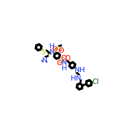 CCS(=O)(=O)c1cc(S(=O)(=O)NC(=O)c2ccc(NCCNCc3ccccc3-c3ccc(Cl)cc3)cc2)ccc1N[C@H](CCN(C)C)CSc1ccccc1